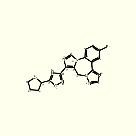 Fc1ccc2c(c1)-c1ncnn1Cc1c(-c3noc(C4CCCO4)n3)ncn1-2